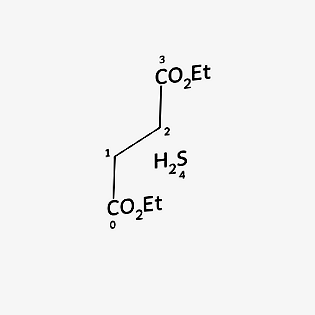 CCOC(=O)CCC(=O)OCC.S